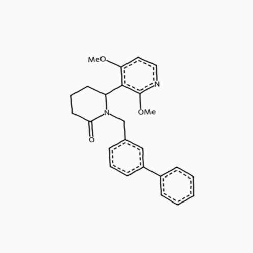 COc1ccnc(OC)c1C1CCCC(=O)N1Cc1cccc(-c2ccccc2)c1